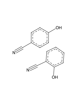 N#Cc1ccc(O)cc1.N#Cc1ccccc1O